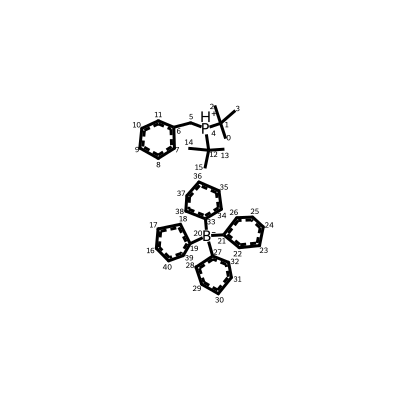 CC(C)(C)[PH+](Cc1ccccc1)C(C)(C)C.c1ccc([B-](c2ccccc2)(c2ccccc2)c2ccccc2)cc1